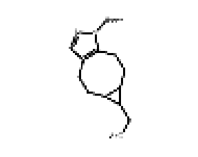 CCCC(C)n1nnc2c1CCC1C(CC2)C1COC(C)=O